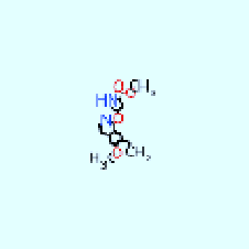 C=Cc1cc2c(O[C@H]3CN[C@H](C(=O)OC)C3)nccc2cc1OC